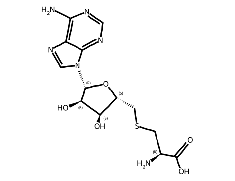 Nc1ncnc2c1ncn2[C@@H]1O[C@H](CSC[C@H](N)C(=O)O)[C@@H](O)[C@H]1O